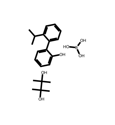 CC(C)(O)C(C)(C)O.CC(C)c1ccccc1-c1ccccc1O.OB(O)O